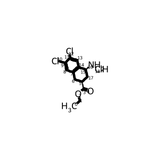 CCOC(=O)[C@H]1Cc2cc(Cl)c(Cl)cc2[C@@H](N)C1.Cl